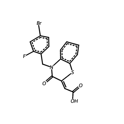 O=C(O)/C=C1\Sc2ccccc2N(Cc2ccc(Br)cc2F)C1=O